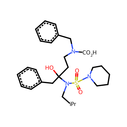 CC(C)CN(C(O)(CCN(Cc1ccccc1)C(=O)O)Cc1ccccc1)S(=O)(=O)N1CCCCC1